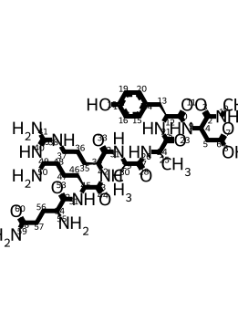 CNC(=O)C(CC(=O)O)NC(=O)[C@H](Cc1ccc(O)cc1)NC(=O)[C@H](C)NC(=O)[C@H](C)NC(=O)[C@H](CCCNC(=N)N)NC(=O)[C@H](CCCCN)NC(=O)[C@@H](N)CCC(N)=O